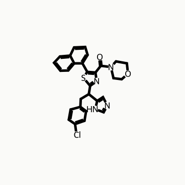 O=C(c1nc(C(Cc2ccc(Cl)cc2)c2cnc[nH]2)sc1-c1cccc2ccccc12)N1CCOCC1